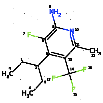 CCC(CC)c1c(F)c(N)nc(C)c1C(F)(F)F